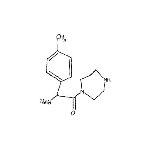 CNC(C(=O)N1CCNCC1)c1ccc(C)cc1